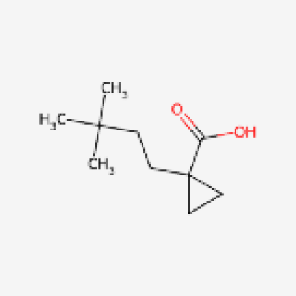 CC(C)(C)CCC1(C(=O)O)CC1